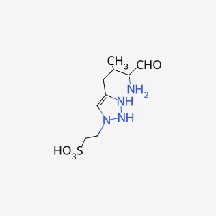 CC(CC1=CN(CCS(=O)(=O)O)NN1)C(N)C=O